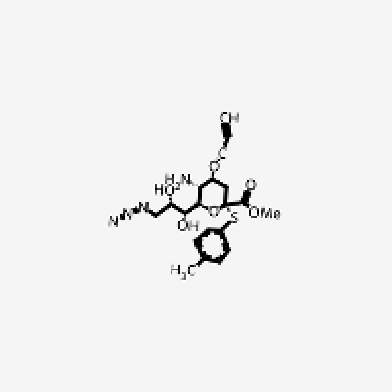 C#CCO[C@H]1C[C@@](Sc2ccc(C)cc2)(C(=O)OC)O[C@@H]([C@H](O)[C@H](O)CN=[N+]=[N-])[C@@H]1N